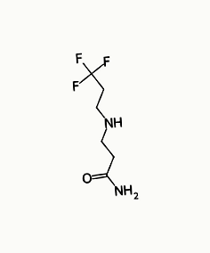 NC(=O)CCNCCC(F)(F)F